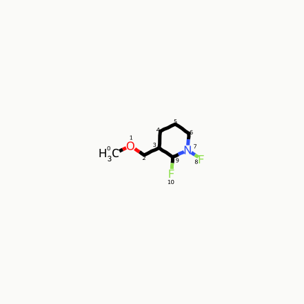 COCC1CCCN(F)C1F